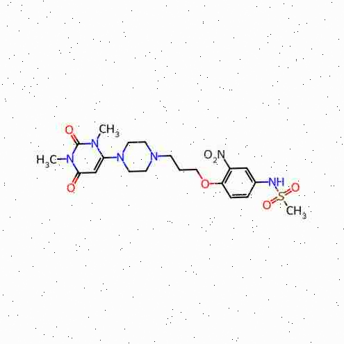 Cn1c(N2CCN(CCCOc3ccc(NS(C)(=O)=O)cc3[N+](=O)[O-])CC2)cc(=O)n(C)c1=O